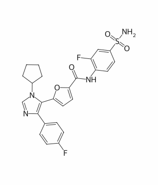 NS(=O)(=O)c1ccc(NC(=O)c2ccc(-c3c(-c4ccc(F)cc4)ncn3C3CCCC3)o2)c(F)c1